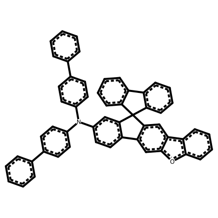 c1ccc(-c2ccc(N(c3ccc(-c4ccccc4)cc3)c3ccc4c(c3)C3(c5ccccc5-c5ccccc53)c3cc5c(cc3-4)oc3ccccc35)cc2)cc1